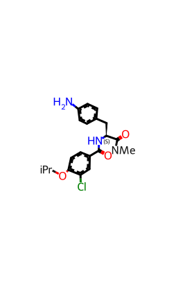 CNC(=O)[C@H](Cc1ccc(N)cc1)NC(=O)c1ccc(OC(C)C)c(Cl)c1